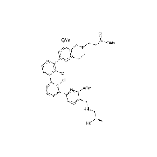 COC(=O)CCN1CCc2cc(-c3nccc(-c4cccc(-c5ccc(CNC[C@@H](C)O)c(OC)n5)c4Cl)c3Cl)cc(OC)c2C1